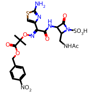 CC(=O)NCC1C(NC(=O)C(=NOC(C)(C)C(=O)OCc2ccc([N+](=O)[O-])cc2)c2csc(N)n2)C(=O)N1S(=O)(=O)O